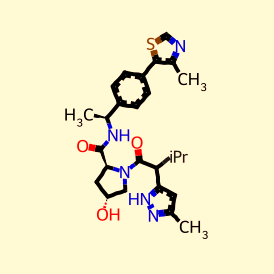 Cc1cc(C(C(=O)N2C[C@H](O)C[C@H]2C(=O)N[C@@H](C)c2ccc(-c3scnc3C)cc2)C(C)C)[nH]n1